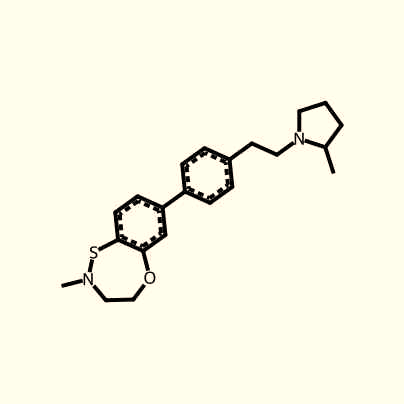 CC1CCCN1CCc1ccc(-c2ccc3c(c2)OCCN(C)S3)cc1